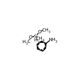 C.CO[SiH2]OC.Nc1ccccc1